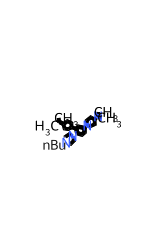 CCCCN1CCN(c2ccc(N3CCC(N(C)C)CC3)cc2C2CCC(=C(C)C)CC2)CC1